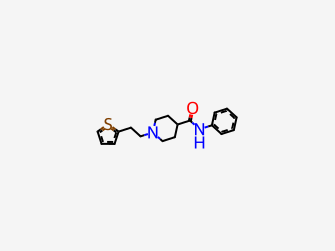 O=C(Nc1ccccc1)C1CCN(CCc2cccs2)CC1